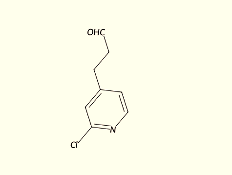 O=CCCc1ccnc(Cl)c1